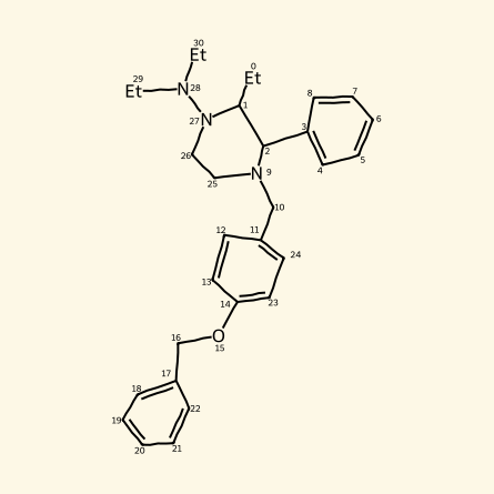 CCC1C(c2ccccc2)N(Cc2ccc(OCc3ccccc3)cc2)CCN1N(CC)CC